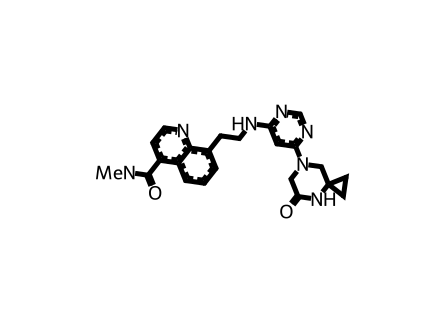 CNC(=O)c1ccnc2c(CCNc3cc(N4CC(=O)NC5(CC5)C4)ncn3)cccc12